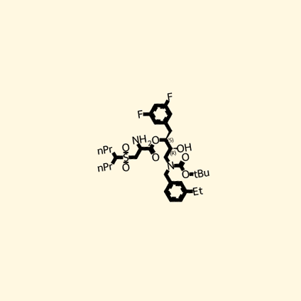 CCCC(CCC)S(=O)(=O)CC(N)C(=O)O[C@@H](Cc1cc(F)cc(F)c1)[C@H](O)CN(Cc1cccc(CC)c1)C(=O)OC(C)(C)C